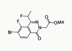 COC(=O)Cn1nc(C(C)F)c2c(F)c(Br)ccc2c1=O